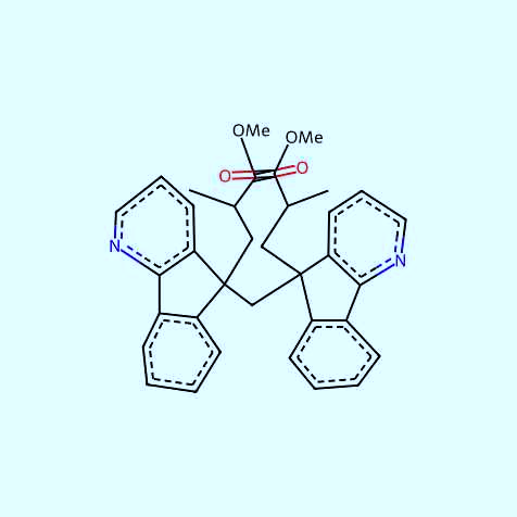 COC(=O)C(C)CC1(CC2(CC(C)C(=O)OC)c3ccccc3-c3ncccc32)c2ccccc2-c2ncccc21